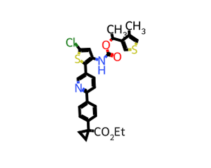 CCOC(=O)C1(c2ccc(-c3ccc(-c4sc(Cl)cc4NC(=O)OC(C)c4cscc4C)cn3)cc2)CC1